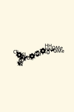 COC(CNC(=O)Nc1ccc(N2CCN(c3ccc(OCC4COC(Cn5ccnc5)(c5ccc(Cl)cc5Cl)O4)cc3)CC2)cc1)OC